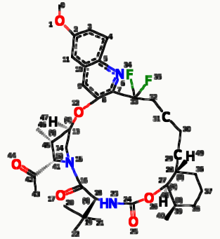 COc1ccc2nc3c(cc2c1)O[C@H]1CN(C(=O)[C@H](C(C)(C)C)NC(=O)O[C@H]2[C@H](CCCCC3(F)F)CCC[C@H]2C)[C@H](C(C)=O)[C@@H]1C